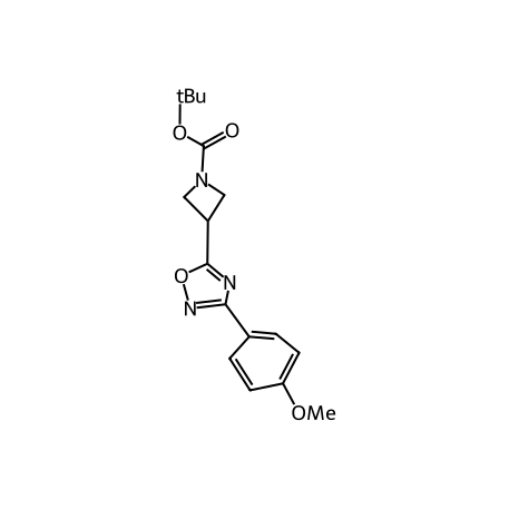 COc1ccc(-c2noc(C3CN(C(=O)OC(C)(C)C)C3)n2)cc1